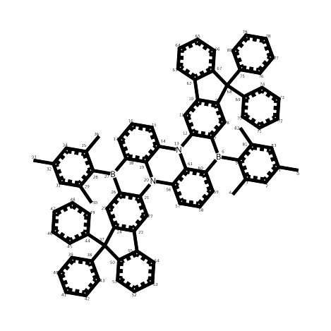 Cc1cc(C)c(B2c3cc4c(cc3N3c5cccc6c5N(c5cc7c(cc5B6c5c(C)cc(C)cc5C)C(c5ccccc5)(c5ccccc5)c5ccccc5-7)c5cccc2c53)-c2ccccc2C4(c2ccccc2)c2ccccc2)c(C)c1